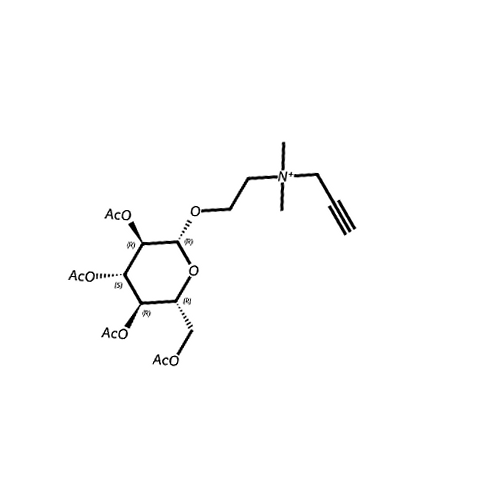 C#CC[N+](C)(C)CCO[C@@H]1O[C@H](COC(C)=O)[C@@H](OC(C)=O)[C@H](OC(C)=O)[C@H]1OC(C)=O